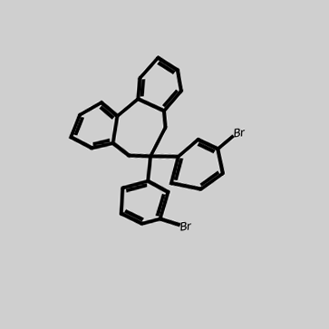 Brc1cccc(C2(c3cccc(Br)c3)Cc3ccccc3-c3ccccc3C2)c1